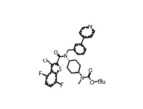 CN(C(=O)OC(C)(C)C)[C@H]1CC[C@H](N(Cc2cccc(-c3ccncc3)c2)C(=O)c2sc3c(F)ccc(F)c3c2Cl)CC1